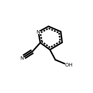 N#Cc1ncccc1CO